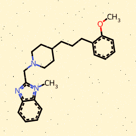 COc1ccccc1CCCC1CCN(Cc2nc3ccccc3n2C)CC1